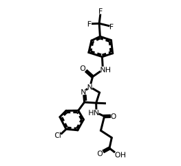 CC1(NC(=O)CCC(=O)O)CN(C(=O)Nc2ccc(C(F)(F)F)cc2)N=C1c1ccc(Cl)cc1